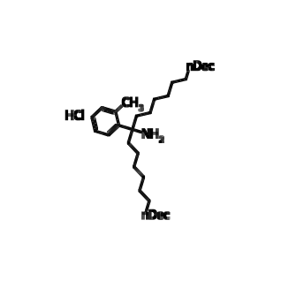 CCCCCCCCCCCCCCCCC(N)(CCCCCCCCCCCCCCCC)c1ccccc1C.Cl